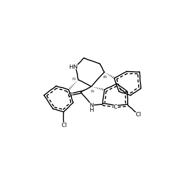 O=C1Nc2cc(Cl)ccc2[C@]12[C@@H](c1ccccc1)CCN[C@H]2c1cccc(Cl)c1